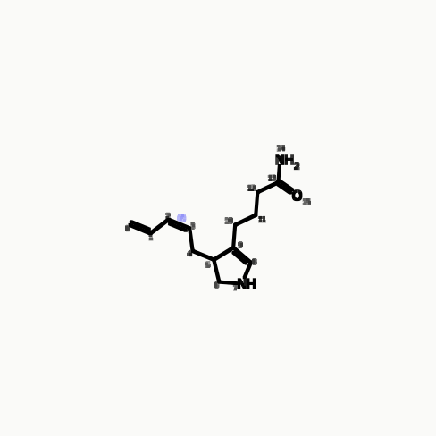 C=C/C=C\CC1CNC=C1CCCC(N)=O